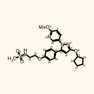 COc1ccc(-n2nc(OC3CCCC3)cc2-c2ccc(OCCNS(C)(=O)=O)cc2)cn1